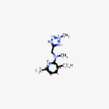 CN(Cc1nnn(C)n1)c1nc(C(F)(F)F)ccc1C(=O)O